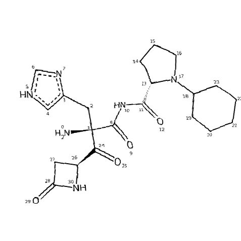 N[C@@](Cc1c[nH]cn1)(C(=O)NC(=O)[C@@H]1CCCN1C1CCCCC1)C(=O)[C@@H]1CC(=O)N1